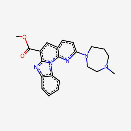 COC(=O)c1cc2ccc(N3CCCN(C)CC3)nc2n2c1nc1ccccc12